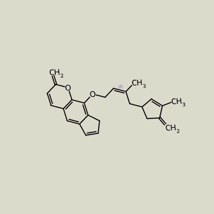 C=C1C=Cc2cc3c(c(OC/C=C(/C)CC4C=C(C)C(=C)C4)c2O1)CC=C3